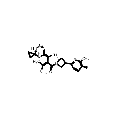 C=N/C(NC1(C)CC1)=C(\C)C(C(=O)N1CCC(c2ccc(F)c(C)n2)C1)=C(C)C